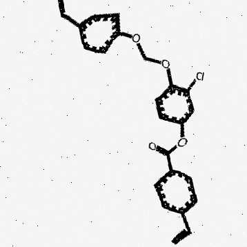 C=Cc1ccc(OCOc2ccc(OC(=O)c3ccc(C=C)cc3)cc2Cl)cc1